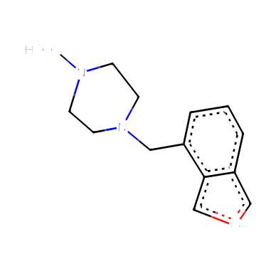 O=C(O)N1CCN(Cc2cccc3cocc23)CC1